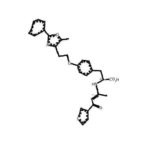 C/C(=C\C(=O)c1ccsc1)N[C@@H](Cc1ccc(OCCc2nc(-c3ccccc3)oc2C)cc1)C(=O)O